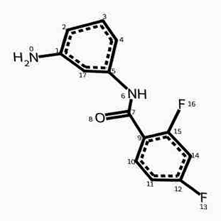 Nc1cccc(NC(=O)c2ccc(F)cc2F)c1